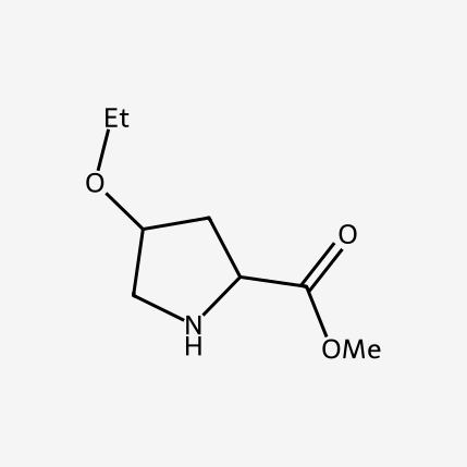 CCOC1CNC(C(=O)OC)C1